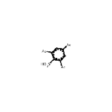 CC(=O)c1cc(C(C)=O)c(S(=O)(=O)O)c(C(C)=O)c1